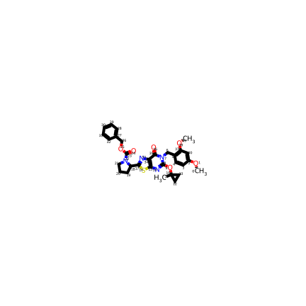 COc1ccc(Cn2c(OC3(C)CC3)nc3sc(C4CCCN4C(=O)OCc4ccccc4)nc3c2=O)c(OC)c1